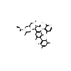 C=CC(=O)N1CC2CN(C)c3c(c4cc(Cl)c(-c5c(N)c(Cl)cc(Cl)c5F)c(F)c4n(-c4c(C)ccnc4C(C)C)c3=O)N2CC1C